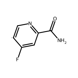 NC(=O)c1cc(F)[c]cn1